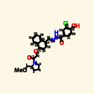 COCC1CCCN1C(=O)COc1ccc(/C=N/NC(=O)c2ccc(O)c(Cl)c2)c2ccccc12